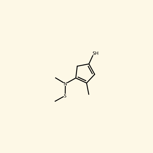 CSN(C)C1=C(C)C=C(S)C1